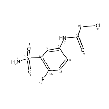 NS(=O)(=O)c1cc(NC(=O)CCl)ccc1F